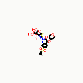 O=C(Nc1nc(C(O)(C(=O)O)C(=O)O)cs1)C(OC1CCOCC1)c1ccc(S(=O)(=O)C2CC2)cc1